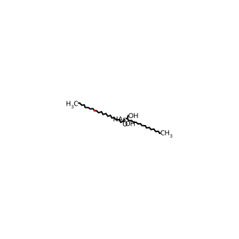 CCCCCCCCCCCCCCCCCCCCCC(=O)[AsH]C(CO)C(O)CCCCCCCCCCCCCCC